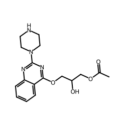 CC(=O)OCC(O)COc1nc(N2CCNCC2)nc2ccccc12